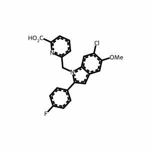 COc1cc2cc(-c3ccc(F)cc3)n(Cc3cccc(C(=O)O)n3)c2cc1Cl